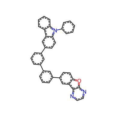 c1ccc(-n2c3ccccc3c3cc(-c4cccc(-c5cccc(-c6ccc7oc8nccnc8c7c6)c5)c4)ccc32)cc1